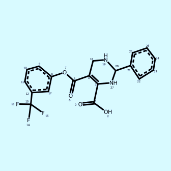 O=C(O)C1=C(C(=O)Oc2cccc(C(F)(F)F)c2)CNC(c2ccccc2)N1